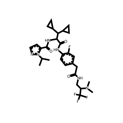 CC(C)n1nccc1C(=O)NC(C(=O)Nc1ccc(CC(=O)NCC(N(C)C)C(F)(F)F)cc1F)C(C1CC1)C1CC1